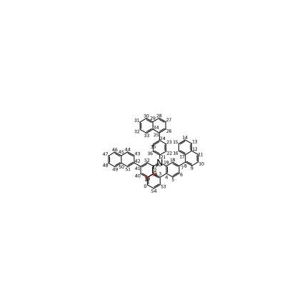 c1ccc(-c2ccc(-c3cccc4ccccc34)cc2N(c2ccc(-c3cccc4ccccc34)cc2)c2cccc(-c3ccc4ccccc4c3)c2)cc1